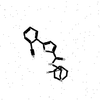 N#Cc1ccccc1-c1ccc(C(=O)N[C@H]2CN3CCC2CC3)o1